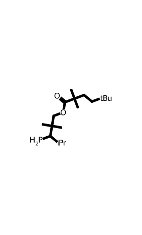 CC(C)C(P)C(C)(C)COC(=O)C(C)(C)CCC(C)(C)C